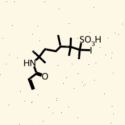 C=CC(=O)NC(C)(C)CCC(C)C(C)(C)C(C)(I)S(=O)(=O)O